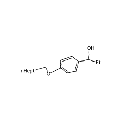 CCCCCCCCOc1ccc(C(O)CC)cc1